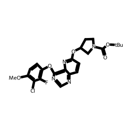 COc1ccc(Oc2ncnc3ccc(OC4CCN(C(=O)OC(C)(C)C)C4)nc23)c(F)c1Cl